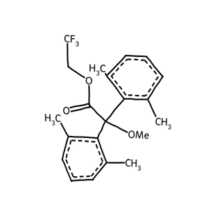 COC(C(=O)OCC(F)(F)F)(c1c(C)cccc1C)c1c(C)cccc1C